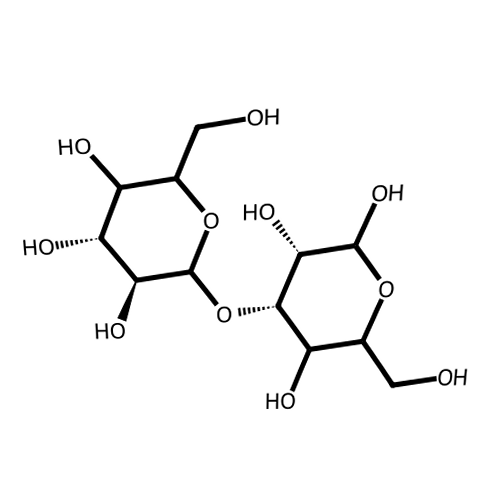 OCC1OC(O[C@H]2C(O)C(CO)OC(O)[C@H]2O)[C@@H](O)[C@H](O)C1O